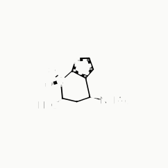 CC(=O)N[C@H]1C[C@H](C)S(=O)(=O)c2sccc21